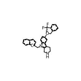 FC(F)(F)c1ccccc1COc1ccc2c(c1)c1c(n2Cc2ccc3ccccc3c2)CNCC1